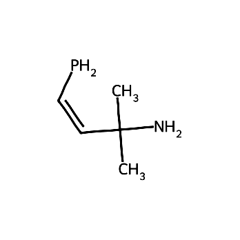 CC(C)(N)/C=C\P